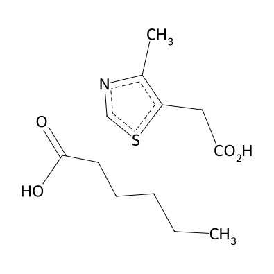 CCCCCC(=O)O.Cc1ncsc1CC(=O)O